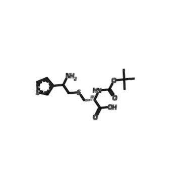 CC(C)(C)OC(=O)N[C@@H](CSCC(N)c1ccsc1)C(=O)O